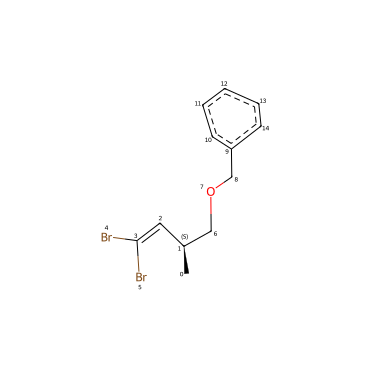 C[C@@H](C=C(Br)Br)COCc1ccccc1